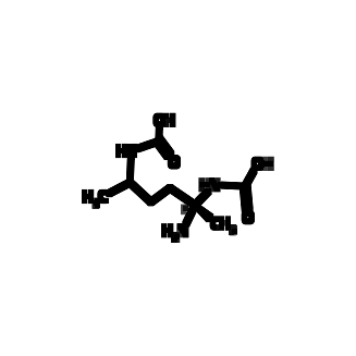 CC(CC[C@@](C)(N)NC(=O)O)NC(=O)O